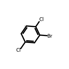 Clc1c[c]c(Cl)c(Br)c1